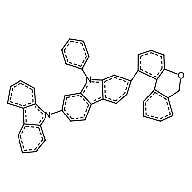 c1ccc(-n2c3cc(-c4cccc5c4-c4ccccc4CO5)ccc3c3ccc(-n4c5ccccc5c5ccccc54)cc32)cc1